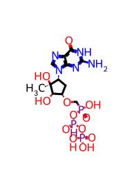 C[C@@]1(O)[C@H](O)[C@@H](OCP(=O)(O)O[PH](=O)OP(=O)(O)O)C[C@H]1n1cnc2c(=O)[nH]c(N)nc21